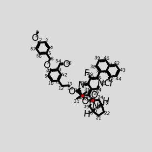 COc1ccc(COc2ccc(CCOc3nc(N4C[C@H]5CC[C@@H](C4)N5C(=O)OC(C)(C)C)c4cnc(-c5cccc6cccc(Cl)c56)c(F)c4n3)cc2C=O)cc1